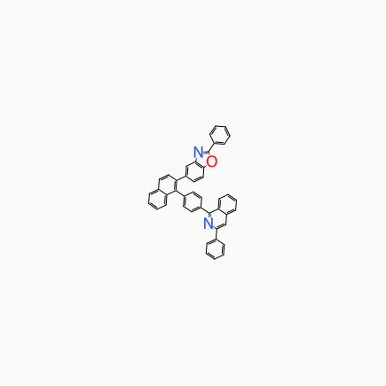 c1ccc(-c2cc3ccccc3c(-c3ccc(-c4c(-c5ccc6oc(-c7ccccc7)nc6c5)ccc5ccccc45)cc3)n2)cc1